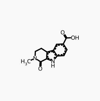 CN1CCc2c([nH]c3ccc(C(=O)O)cc23)C1=O